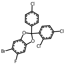 Fc1cc2c(cc1Br)OC(c1ccc(Cl)cc1)(c1ccc(Cl)cc1Cl)O2